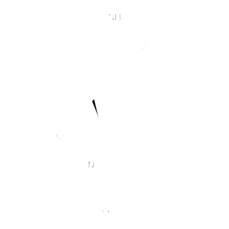 NC(=O)CCC[C@H](C(=O)N1CCOCC1)c1ccccc1